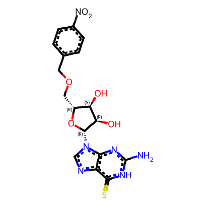 Nc1nc2c(ncn2[C@@H]2O[C@H](COCc3ccc([N+](=O)[O-])cc3)[C@@H](O)[C@H]2O)c(=S)[nH]1